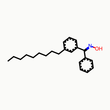 CCCCCCCCCc1cccc(C(=NO)c2ccccc2)c1